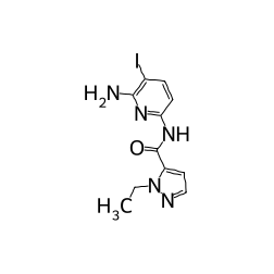 CCn1nccc1C(=O)Nc1ccc(I)c(N)n1